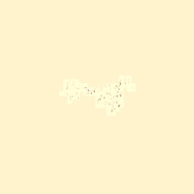 Cn1cc(C(=O)O/N=C/c2ccccc2)c(C(F)(F)F)n1